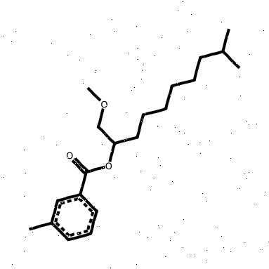 COCC(CCCCCCC(C)C)OC(=O)c1cccc(C)c1